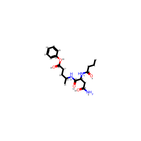 CCCC(=O)NC(CC(N)=O)C(=O)NC(C)CCC(=O)Oc1ccccc1